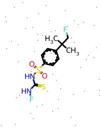 CC(C)(CF)c1ccc(S(=O)(=O)NC(=S)NF)cc1